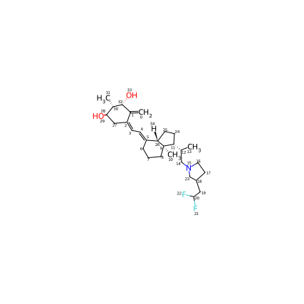 C=C1C(=CC=C2CCC[C@]3(C)[C@@H](C(C)CN4CCC(CC(F)F)C4)CC[C@@H]23)C[C@@H](O)[C@H](C)[C@@H]1O